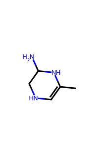 CC1=CNCC(N)N1